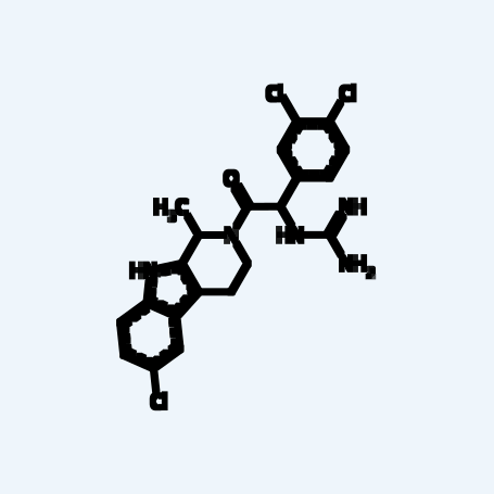 CC1c2[nH]c3ccc(Cl)cc3c2CCN1C(=O)C(NC(=N)N)c1ccc(Cl)c(Cl)c1